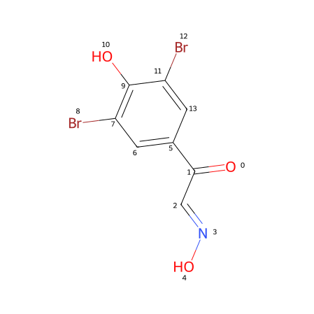 O=C(C=NO)c1cc(Br)c(O)c(Br)c1